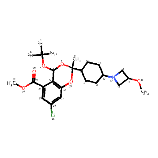 [2H]C([2H])([2H])OC1OC(C)(C2CCC(N3CC(OC)C3)CC2)Oc2cc(Cl)cc(C(=O)OC)c21